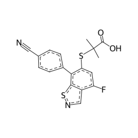 CC(C)(Sc1cc(F)c2cnsc2c1-c1ccc(C#N)cc1)C(=O)O